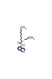 CCCCCCCCC(SCCCC)C(=O)Nc1cccc2cnccc12